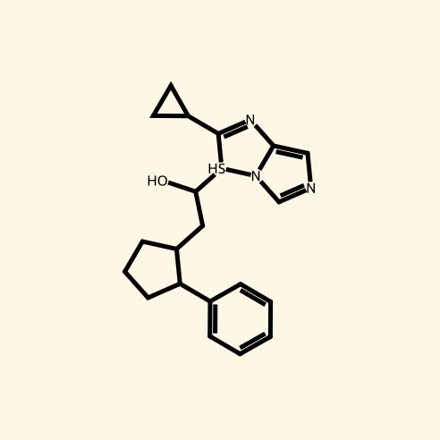 OC(CC1CCCC1c1ccccc1)[SH]1C(C2CC2)=Nc2cncn21